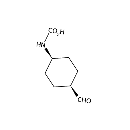 O=C[C@H]1CC[C@@H](NC(=O)O)CC1